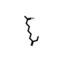 C=C(CC)CCCCCC(C)=N